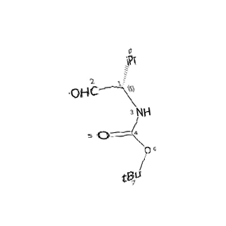 CC(C)[C@@H]([C]=O)NC(=O)OC(C)(C)C